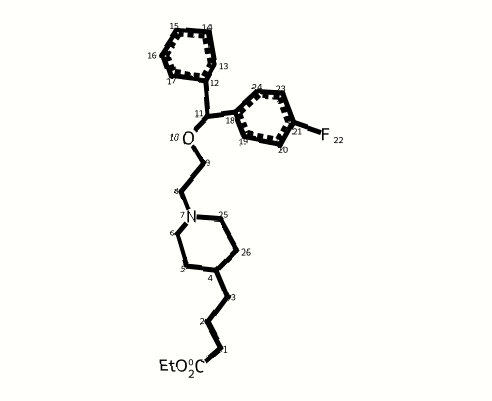 CCOC(=O)CCCC1CCN(CCOC(c2ccccc2)c2ccc(F)cc2)CC1